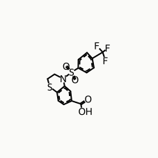 O=C(O)c1ccc2c(c1)N(S(=O)(=O)c1ccc(C(F)(F)F)cc1)CCS2